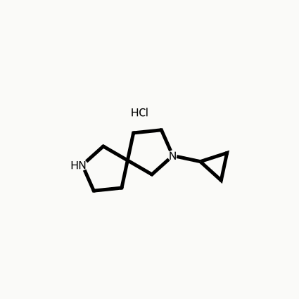 C1CC2(CCN(C3CC3)C2)CN1.Cl